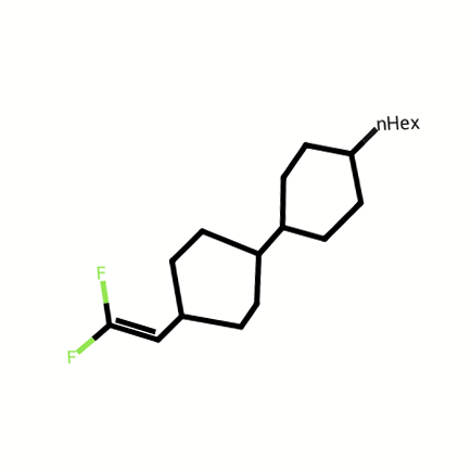 CCCCCCC1CCC(C2CCC(C=C(F)F)CC2)CC1